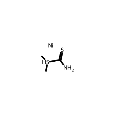 C[SH](C)C(N)=S.[Ni]